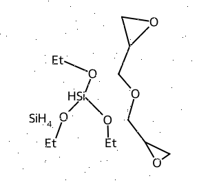 C(OCC1CO1)C1CO1.CCO[SiH](OCC)OCC.[SiH4]